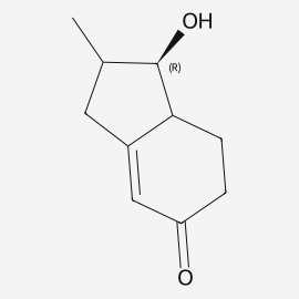 CC1CC2=CC(=O)CCC2[C@@H]1O